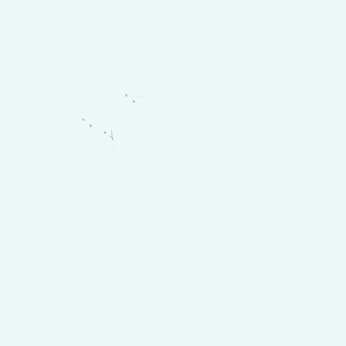 N=C(NN)c1ccc(OCc2ccccc2)cc1